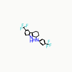 FC(F)(F)c1ccc(NC2CCCc3c2[nH]c2ccc(C(F)(F)F)cc32)cc1